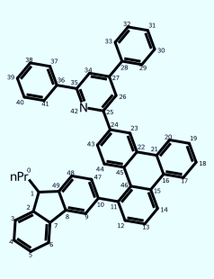 CCCC1c2ccccc2-c2cc(-c3cccc4c5ccccc5c5cc(-c6cc(-c7ccccc7)cc(-c7ccccc7)n6)ccc5c34)ccc21